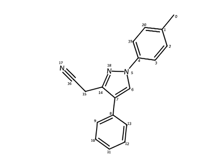 Cc1ccc(-n2cc(-c3ccccc3)c(CC#N)n2)cc1